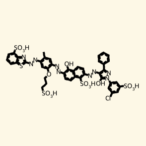 Cc1cc(N=Nc2ccc3c(S(=O)(=O)O)c(N=Nc4c(-c5ccccc5)nn(-c5cc(Cl)cc(S(=O)(=O)O)c5)c4O)ccc3c2O)c(OCCCS(=O)(=O)O)cc1N=Nc1nc2c(S(=O)(=O)O)cccc2s1